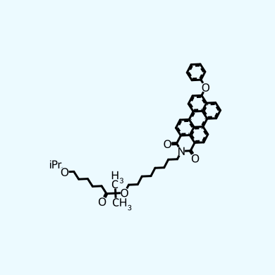 CC(C)OCCCCCC(=O)C(C)(C)OCCCCCCCCN1C(=O)c2ccc3c4cccc5c(Oc6ccccc6)ccc(c6ccc(c2c36)C1=O)c54